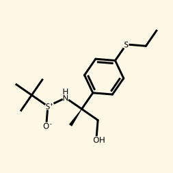 CCSc1ccc([C@](C)(CO)N[S+]([O-])C(C)(C)C)cc1